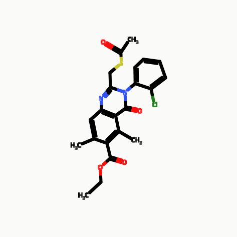 CCOC(=O)c1c(C)cc2nc(CSC(C)=O)n(-c3ccccc3Cl)c(=O)c2c1C